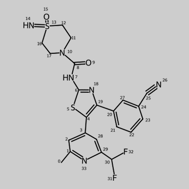 Cc1cc(-c2sc(NC(=O)N3CCS(=N)(=O)CC3)nc2-c2cccc(C#N)c2)cc(C(F)F)n1